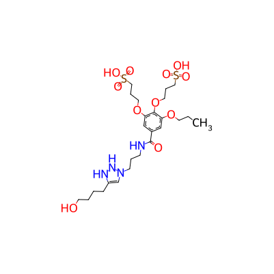 CCCOc1cc(C(=O)NCCCN2C=C(CCCCO)NN2)cc(OCCCS(=O)(=O)O)c1OCCCS(=O)(=O)O